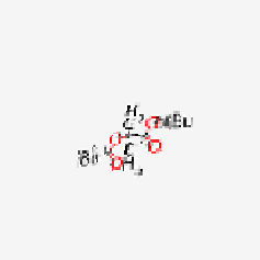 CCC(C)C(=O)OC(C)(C)C(=O)OC(C)(C)C